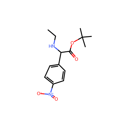 CCNC(C(=O)OC(C)(C)C)c1ccc([N+](=O)[O-])cc1